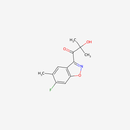 Cc1cc2c(C(=O)C(C)(C)O)noc2cc1F